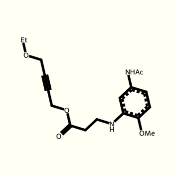 CCOCC#CCOC(=O)CCNc1cc(NC(C)=O)ccc1OC